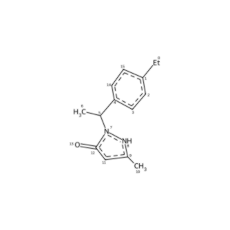 CCc1ccc(C(C)n2[nH]c(C)cc2=O)cc1